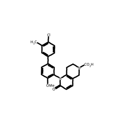 COc1ccc(-c2ccc(Cl)c(C)c2)cc1-n1c2c(ccc1=O)CN(C(=O)O)CC2